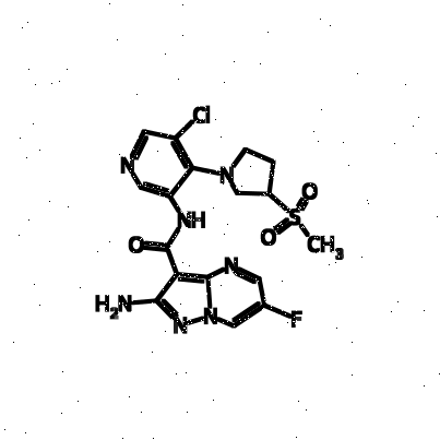 CS(=O)(=O)C1CCN(c2c(Cl)cncc2NC(=O)c2c(N)nn3cc(F)cnc23)C1